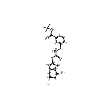 CC(C)(C)OC(=O)c1cccc(CNC(=O)Cc2nc3c(F)cc(F)cc3s2)c1